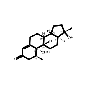 C[C@H]1CC(=O)C=C2CC[C@@H]3[C@H](CC[C@@]4(C)[C@H]3CC[C@]4(C)O)[C@]21C=O